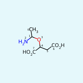 CC(N)OC(CC(=O)O)C(=O)O